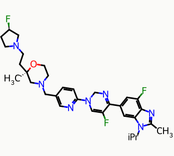 Cc1nc2c(F)cc(C3=NCN(c4ccc(CN5CCO[C@](C)(CCN6CC[C@@H](F)C6)C5)cn4)C=C3F)cc2n1C(C)C